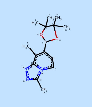 Cc1c(B2OC(C)(C)C(C)(C)O2)ccn2c(C(F)(F)F)nnc12